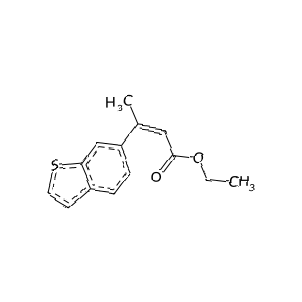 CCOC(=O)/C=C(/C)c1ccc2ccsc2c1